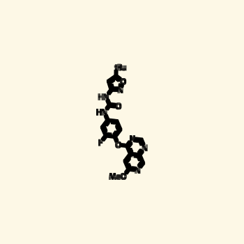 COc1cc2c(Oc3ccc(NC(=O)Nc4cc(C(C)(C)C)on4)cc3F)ncnc2cn1